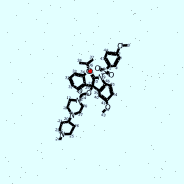 COc1ccc(S(=O)(=O)N2C(=O)C(OC(=O)N3CCN(C4CCN(C)CC4)CC3)(c3ccccc3OC(C)C)c3cc(OC)ccc32)cc1